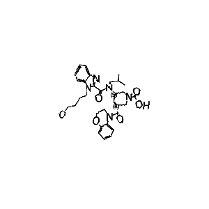 COCCCCn1c(C(=O)N(CC(C)C)[C@H]2C[C@@H](C(=O)N3CCOc4ccccc43)CN(C(=O)O)C2)nc2ccccc21